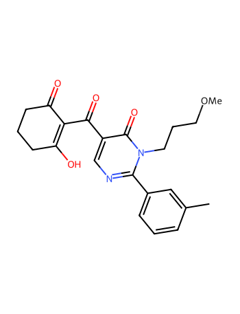 COCCCn1c(-c2cccc(C)c2)ncc(C(=O)C2=C(O)CCCC2=O)c1=O